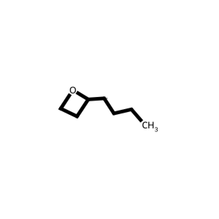 CCC[CH]C1CCO1